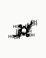 OCC(O)COc1c(F)c(F)c(-c2c3nc(c(-c4cccc(O)c4)c4ccc([nH]4)c(-c4c(F)c(F)c(OCC(O)CO)c(F)c4F)c4nc(c(-c5cccc(O)c5)c5ccc2[nH]5)CC4)C=C3)c(F)c1F